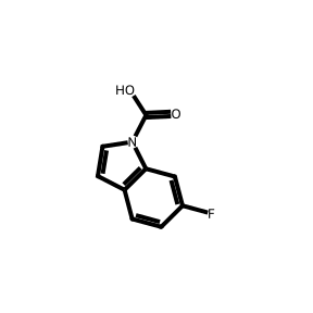 O=C(O)n1ccc2ccc(F)cc21